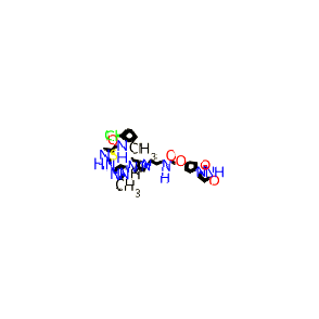 Cc1nc(Nc2ncc(C(=O)Nc3c(C)cccc3Cl)s2)cc(N2CC3[C@@H]2CN3CCCNC(=O)COc2ccc(-n3ccc(=O)[nH]c3=O)cc2)n1